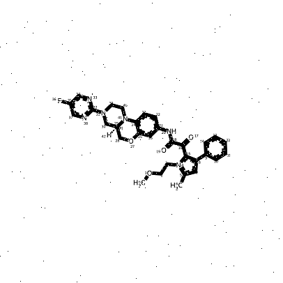 COCCn1c(C)cc(-c2ccccc2)c1C(=O)C(=O)Nc1ccc2c(c1)OC[C@H]1CN(c3ncc(F)cn3)CCN21